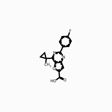 CC1(c2nc(-c3ccc(F)cc3)nc3cc(C(=O)O)oc23)CC1